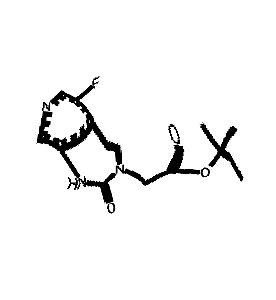 CC(C)(C)OC(=O)CN1Cc2c(F)cncc2NC1=O